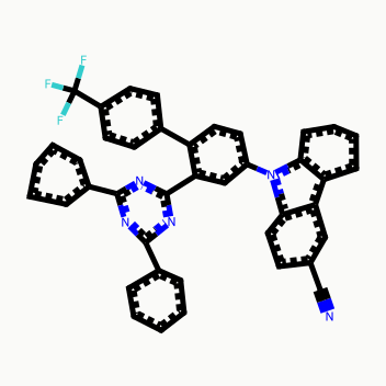 N#Cc1ccc2c(c1)c1ccccc1n2-c1ccc(-c2ccc(C(F)(F)F)cc2)c(-c2nc(-c3ccccc3)nc(-c3ccccc3)n2)c1